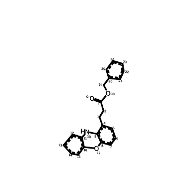 O=C(CCc1cccc2c1Nc1ccccc1O2)OCc1ccccc1